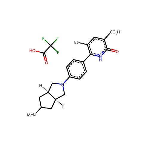 CCc1cc(C(=O)O)c(=O)[nH]c1-c1ccc(N2C[C@H]3CC(NC)C[C@H]3C2)cc1.O=C(O)C(F)(F)F